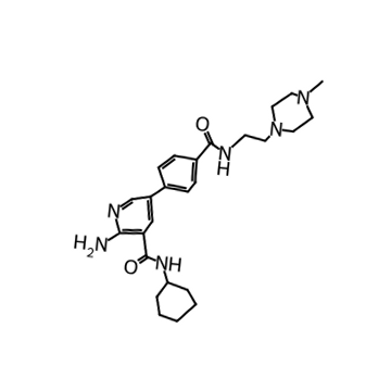 CN1CCN(CCNC(=O)c2ccc(-c3cnc(N)c(C(=O)NC4CCCCC4)c3)cc2)CC1